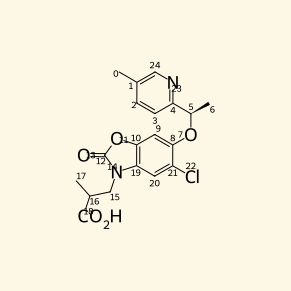 Cc1ccc([C@@H](C)Oc2cc3oc(=O)n(CC(C)C(=O)O)c3cc2Cl)nc1